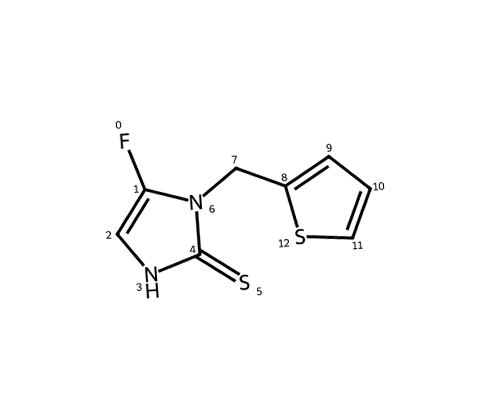 Fc1c[nH]c(=S)n1Cc1cccs1